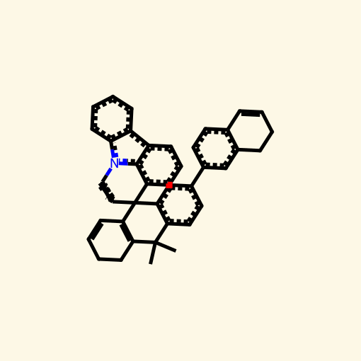 CC1(C)C2=C(C=CCC2)C2(c3ccccc3-n3c4ccccc4c4cccc2c43)c2cc(-c3ccc4c(c3)CCC=C4)ccc21